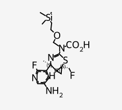 C[C@]1(c2cc(N)cnc2F)N=C(N(COCC[Si](C)(C)C)C(=O)O)S[C@@]2(CF)C[C@H]21